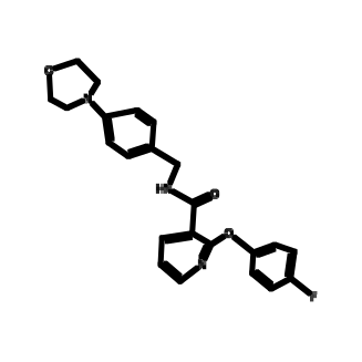 O=C(NCc1ccc(N2CCOCC2)cc1)c1cccnc1Oc1ccc(F)cc1